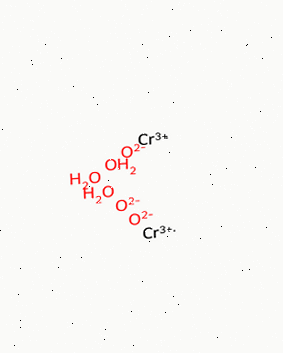 O.O.O.[Cr+3].[Cr+3].[O-2].[O-2].[O-2]